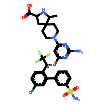 CC1NC(C(=O)O)CC12CCN(c1cc(O[C@H](c3ccc(Cl)cc3-c3cccc(S(N)(=O)=O)c3)C(F)(F)F)nc(N)n1)CC2